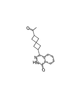 CC(=O)C1CC2(C1)CC(c1n[nH]c(=O)c3ccccc13)C2